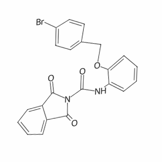 O=C(Nc1ccccc1OCc1ccc(Br)cc1)N1C(=O)c2ccccc2C1=O